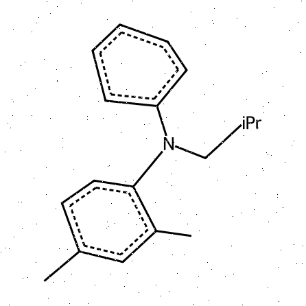 Cc1ccc(N(CC(C)C)c2ccccc2)c(C)c1